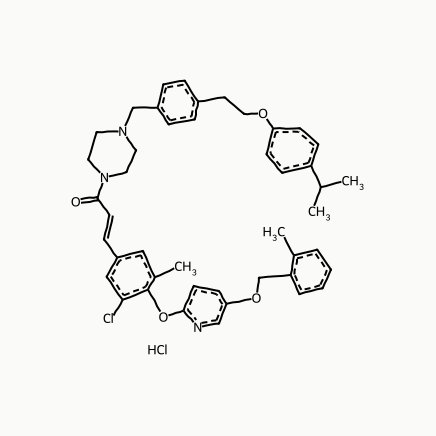 Cc1ccccc1COc1ccc(Oc2c(C)cc(C=CC(=O)N3CCN(Cc4ccc(CCOc5ccc(C(C)C)cc5)cc4)CC3)cc2Cl)nc1.Cl